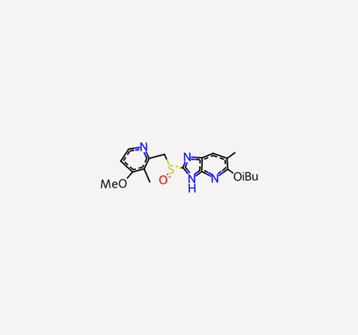 COc1ccnc(C[S+]([O-])c2nc3cc(C)c(OCC(C)C)nc3[nH]2)c1C